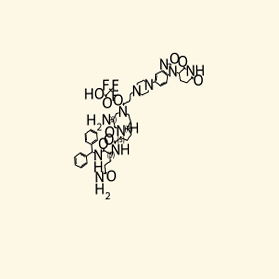 Cn1c(=O)n(C2CCC(=O)NC2=O)c2ccc(N3CCN(CCC(=O)N4CC[C@H]5CC[C@@H](C(=O)N[C@@H](CCC(N)=O)C(=O)NC(c6ccccc6)c6ccccc6)N5C(=O)[C@@H](N)C4)CC3)cc21.O=C(O)C(F)(F)F